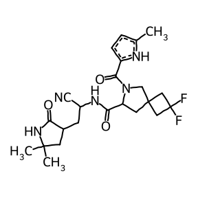 Cc1ccc(C(=O)N2CC3(CC2C(=O)NC(C#N)CC2CC(C)(C)NC2=O)CC(F)(F)C3)[nH]1